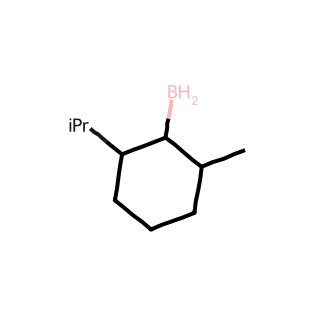 BC1C(C)CCCC1C(C)C